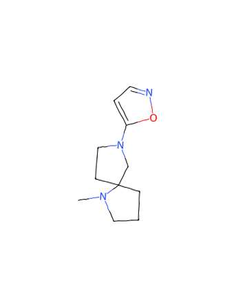 CN1CCCC12CCN(c1ccno1)C2